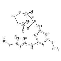 COc1cc(Nc2cc(CO)[nH]n2)nc(NC2C[C@H]3CCC[C@@H](C2)N3)n1